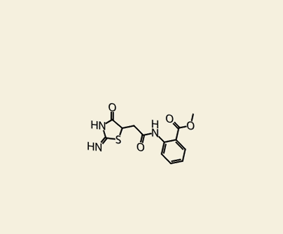 COC(=O)c1ccccc1NC(=O)CC1SC(=N)NC1=O